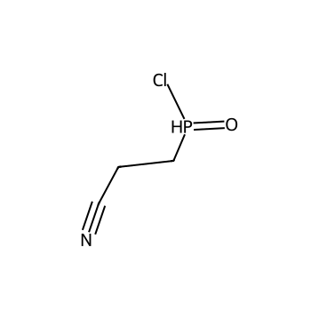 N#CCC[PH](=O)Cl